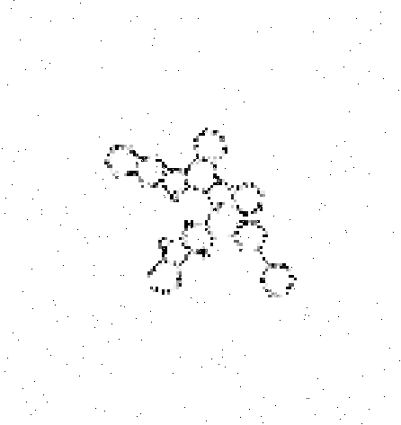 c1ccc(-c2cccc(-c3nc4c(nc3-n3c5ccccc5c5c6ccccc6c6c7cc8ccccc8cc7oc6c53)oc3ccccc34)c2)cc1